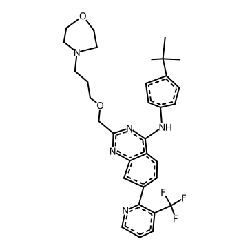 CC(C)(C)c1ccc(Nc2nc(COCCCN3CCOCC3)nc3cc(-c4ncccc4C(F)(F)F)ccc23)cc1